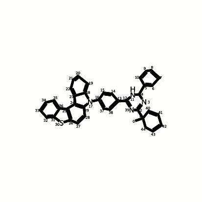 CC1(C2=NC(c3ccccc3)NC(c3ccc(-n4c5ccccc5c5c6c(ccc54)sc4ccccc46)cc3)=N2)C=CC=CC1